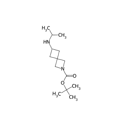 CC(C)NC1CC2(C1)CN(C(=O)OC(C)(C)C)C2